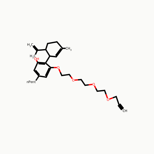 C#CCOCCOCCOCCOc1cc(CCCCC)cc(O)c1C1C=C(C)CCC1C(=C)C